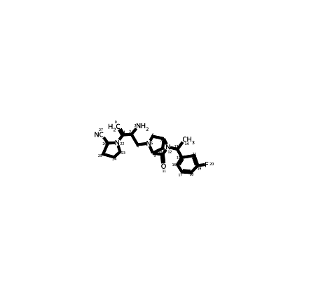 C=C(C(N)CN1CC2CC1C(=O)N2C(C)c1cccc(F)c1)N1CCCC1C#N